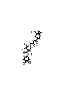 C[C@H]1C(=O)N(C[C@H](O)CC(=O)N2CCC3(CC3)[C@H](O)C2)CCN1C(=O)Nc1ccc(Cl)c(Cl)c1